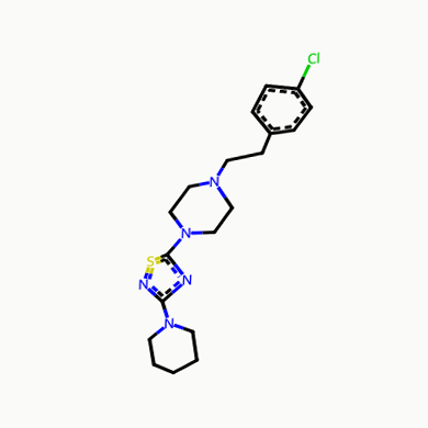 Clc1ccc(CCN2CCN(c3nc(N4CCCCC4)ns3)CC2)cc1